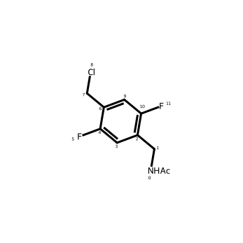 CC(=O)NCc1cc(F)c(CCl)cc1F